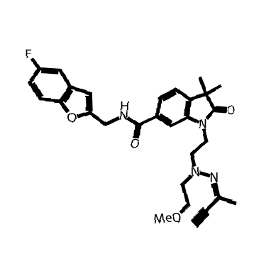 C#C/C(C)=N\N(CCOC)CCN1C(=O)C(C)(C)c2ccc(C(=O)NCc3cc4cc(F)ccc4o3)cc21